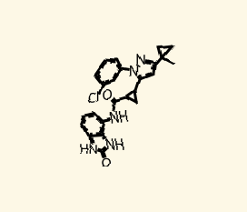 CC1(c2cc(C3CC3C(=O)Nc3cccc4[nH]c(=O)[nH]c34)n(-c3cccc(Cl)c3)n2)CC1